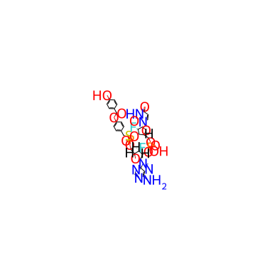 Nc1ncnc2c1ncn2[C@@H]1O[C@@H]2CO[P@@](=O)(SCc3ccc(OC(=O)c4ccc(O)cc4)cc3)OC3[C@@H](F)[C@H](n4ccc(=O)[nH]c4=O)O[C@@H]3COP(=O)(O)O[C@@H]1[C@@H]2F